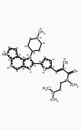 CN(C)CCN(C)C(=O)/C(C#N)=C/c1ccc(-c2nc3cnc4[nH]ccc4c3n2C2CCN(C)CC2)o1